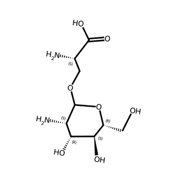 N[C@@H]1C(OC[C@H](N)C(=O)O)O[C@H](CO)[C@@H](O)[C@@H]1O